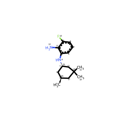 C[C@H]1C[C@H](Nc2cccc(F)c2N)CC(C)(C)C1